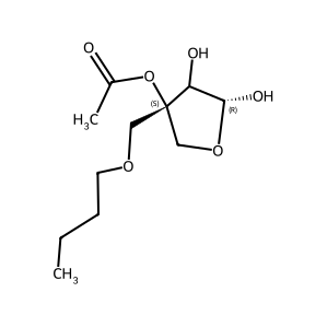 CCCCOC[C@]1(OC(C)=O)CO[C@@H](O)C1O